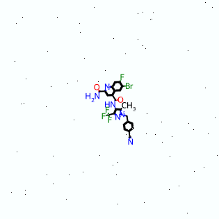 Cc1c(NC(=O)c2cc(C(N)=O)nc3cc(F)c(Br)cc23)c(C(F)(F)F)nn1Cc1ccc(C#N)cc1